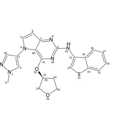 Cn1cc(-n2ccc3nc(Nc4csc5ccccc45)nc(O[C@H]4CCOC4)c32)cn1